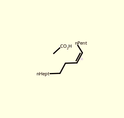 CC(=O)O.CCCCC/C=C\CCCCCCCCC